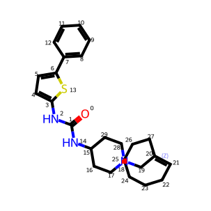 O=C(Nc1ccc(-c2ccccc2)s1)NC1CCN(C/C2=C\CCCCCC2)CC1